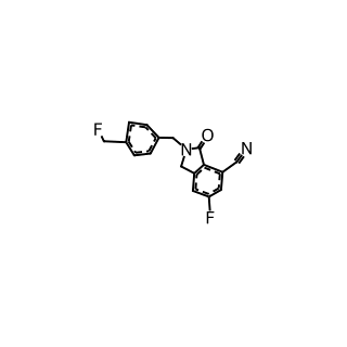 N#Cc1cc(F)cc2c1C(=O)N(Cc1ccc(CF)cc1)C2